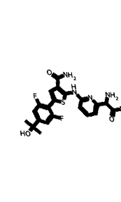 CC(C)(O)c1cc(F)c(-c2cc(C(N)=O)c(Nc3cccc(C(N)C(N)=O)n3)s2)c(F)c1